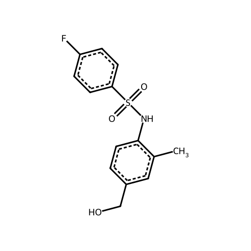 Cc1cc(CO)ccc1NS(=O)(=O)c1ccc(F)cc1